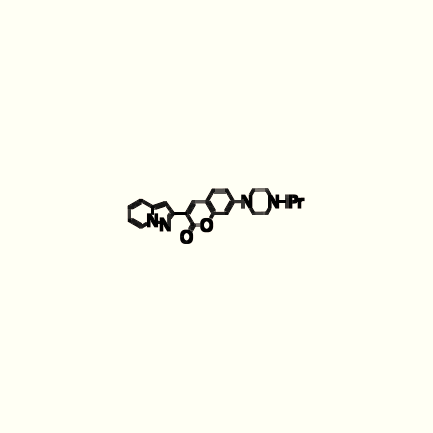 CC(C)N1CCN(c2ccc3cc(-c4cc5ccccn5n4)c(=O)oc3c2)CC1